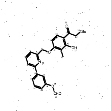 Cc1c(OCc2cccc(-c3cccc(OC=O)c3)n2)ccc(C(=O)CC(C)(C)C)c1O